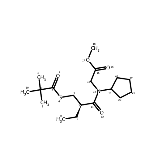 CC[C@@H](CSC(=O)C(C)(C)C)C(=O)N(CC(=O)OC)C1CCCC1